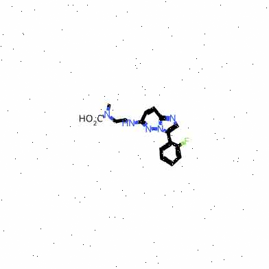 CN(CCNc1ccc2ncc(-c3ccccc3F)n2n1)C(=O)O